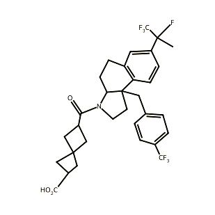 CC(F)(c1ccc2c(c1)CCC1N(C(=O)C3CC4(CC(C(=O)O)C4)C3)CCC21Cc1ccc(C(F)(F)F)cc1)C(F)(F)F